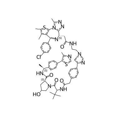 Cc1ncsc1-c1ccc([C@H](C)NC(=O)[C@@H]2CC(O)CN2C(=O)C(NC(=O)Cc2ccc(-c3cn(CCNC(=O)C[C@@H]4N=C(c5ccc(Cl)cc5)c5c(sc(C)c5C)-n5c(C)nnc54)cn3)cc2)C(C)(C)C)cc1